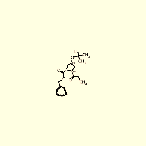 CCC(=O)[C@@H]1C[C@@H](OC(C)(C)C)CN1C(=O)OCc1ccccc1